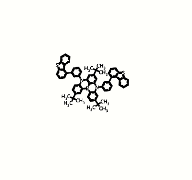 CC(C)(C)c1ccc2c(c1)B1c3ccc(C(C)(C)C)cc3N(c3cccc(-c4cccc5sc6ccccc6c45)c3)c3cc(C(C)(C)C)cc(c31)N2c1cccc(-c2cccc3sc4ccccc4c23)c1